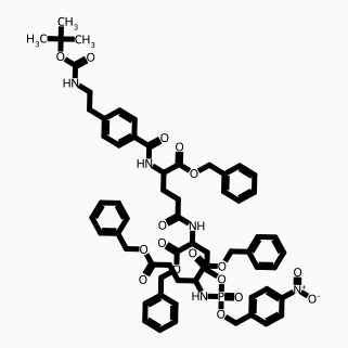 CC(C)(C)OC(=O)NCCc1ccc(C(=O)NC(CCC(=O)NC(CCOP(=O)(NC(CCC(=O)OCc2ccccc2)C(=O)OCc2ccccc2)OCc2ccc([N+](=O)[O-])cc2)C(=O)OCc2ccccc2)C(=O)OCc2ccccc2)cc1